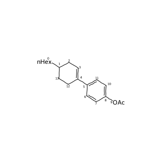 CCCCCCC1CC=C(c2ccc(OC(C)=O)cc2)CC1